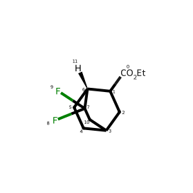 CCOC(=O)C1CC2CC[C@H]1C(F)(F)C2